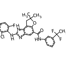 CC1(C)Cc2c(c(C(=O)Nc3cccc(C(C)(F)F)c3)cc3nc(Nc4c(F)cccc4Cl)[nH]c23)O1